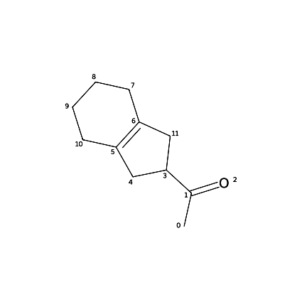 CC(=O)C1CC2=C(CCCC2)C1